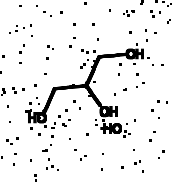 OCC(O)CO.[OH]